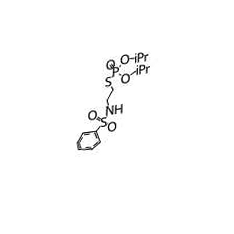 CC(C)OP(=O)(OC(C)C)SCCNS(=O)(=O)c1ccccc1